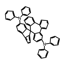 c1ccc(N(c2ccccc2)c2ccc3c(c2)-c2ccccc2-c2ccccc2C32c3ccccc3-c3ccc(N(c4ccccc4)c4ccccc4)cc32)cc1